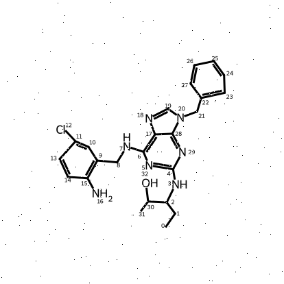 CCC(Nc1nc(NCc2cc(Cl)ccc2N)c2ncn(Cc3ccccc3)c2n1)C(C)O